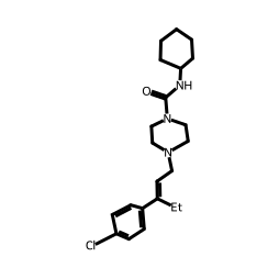 CC/C(=C\CN1CCN(C(=O)NC2CCCCC2)CC1)c1ccc(Cl)cc1